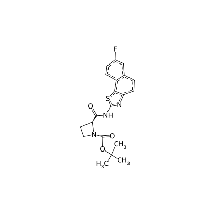 CC(C)(C)OC(=O)N1CC[C@H]1C(=O)Nc1nc2ccc3cc(F)ccc3c2s1